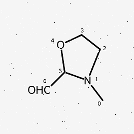 CN1CCOC1C=O